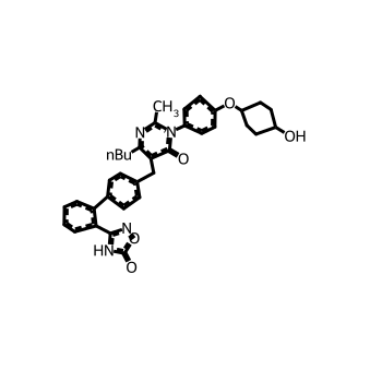 CCCCc1nc(C)n(-c2ccc(OC3CCC(O)CC3)cc2)c(=O)c1Cc1ccc(-c2ccccc2-c2noc(=O)[nH]2)cc1